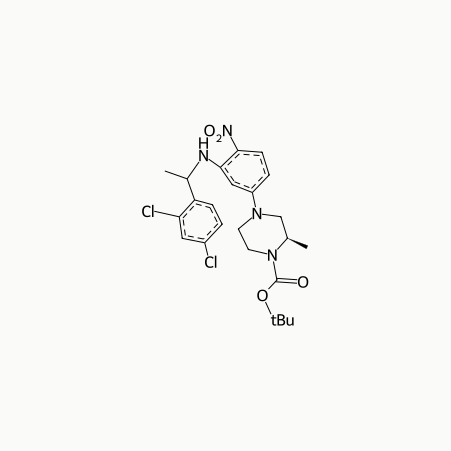 CC(Nc1cc(N2CCN(C(=O)OC(C)(C)C)[C@H](C)C2)ccc1[N+](=O)[O-])c1ccc(Cl)cc1Cl